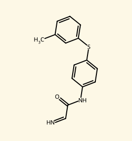 Cc1cccc(Sc2ccc(NC(=O)C=N)cc2)c1